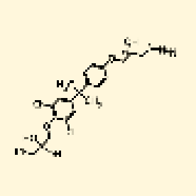 CC(C)(c1ccc(OC[C@H](O)CN=[N+]=[N-])cc1)c1cc(Cl)c(OCC(O)(O)CCl)c(Cl)c1